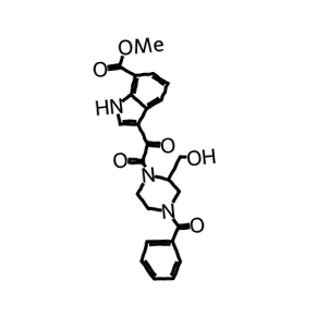 COC(=O)c1cccc2c(C(=O)C(=O)N3CCN(C(=O)c4ccccc4)CC3CO)c[nH]c12